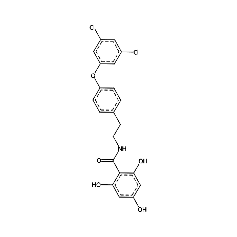 O=C(NCCc1ccc(Oc2cc(Cl)cc(Cl)c2)cc1)c1c(O)cc(O)cc1O